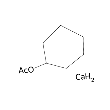 CC(=O)OC1CCCCC1.[CaH2]